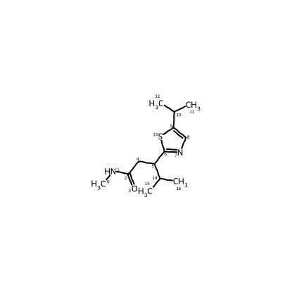 CNC(=O)CC(c1ncc(C(C)C)s1)C(C)C